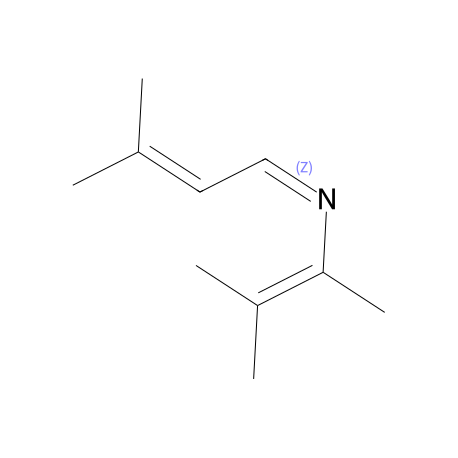 CC(C)=C/C=N\C(C)=C(C)C